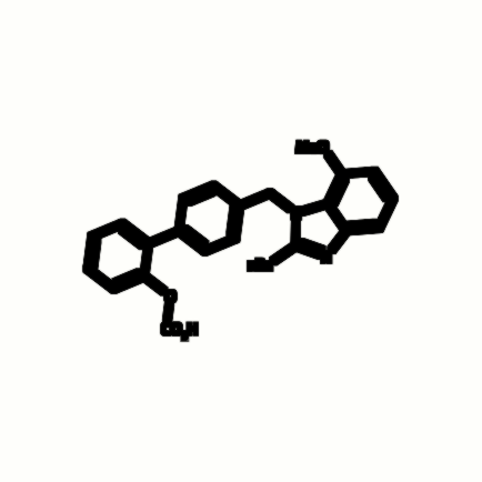 CCCCc1nc2cccc(OC)c2n1Cc1ccc(-c2ccccc2OC(=O)O)cc1